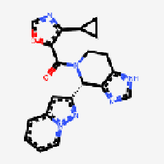 O=C(c1ocnc1C1CC1)N1CCc2[nH]cnc2[C@@H]1c1cc2ccccn2n1